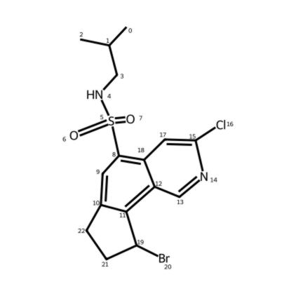 CC(C)CNS(=O)(=O)c1cc2c(c3cnc(Cl)cc13)C(Br)CC2